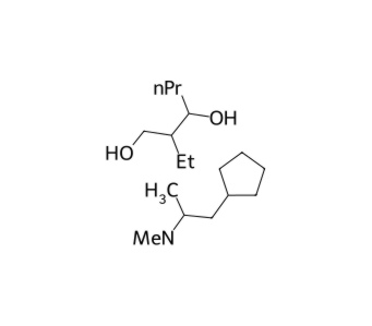 CCCC(O)C(CC)CO.CNC(C)CC1CCCC1